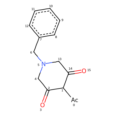 CC(=O)C1C(=O)CN(Cc2ccccc2)CC1=O